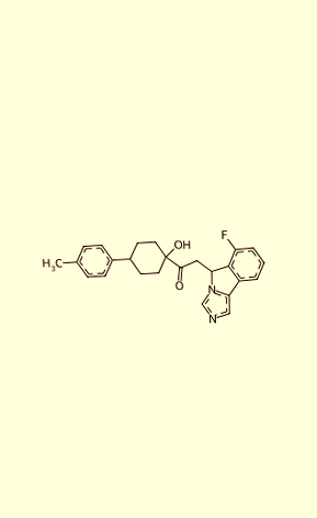 Cc1ccc(C2CCC(O)(C(=O)CC3c4c(F)cccc4-c4cncn43)CC2)cc1